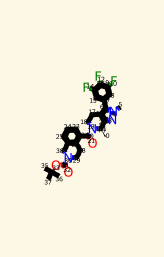 C[C@H]1c2nn(C)c(-c3cc(F)c(F)c(F)c3)c2CCN1C(=O)c1cccc2c1CCN(C(=O)OC(C)(C)C)C2